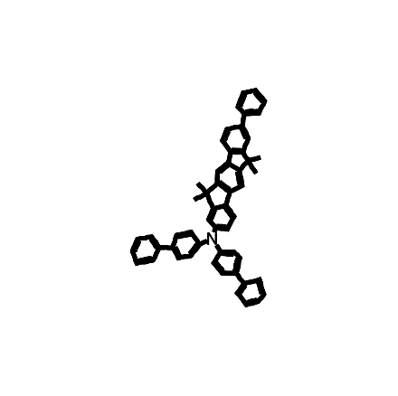 CC1(C)c2cc(-c3ccccc3)ccc2-c2cc3c(cc21)-c1ccc(N(c2ccc(-c4ccccc4)cc2)c2ccc(-c4ccccc4)cc2)cc1C3(C)C